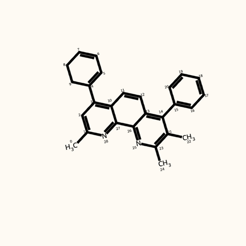 Cc1cc(C2=CC=CCC2)c2ccc3c(-c4ccccc4)c(C)c(C)nc3c2n1